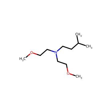 COCCN(CCOC)CCC(C)C